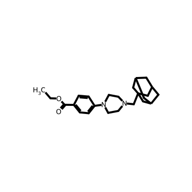 CCOC(=O)c1ccc(N2CCN(CC34CC5CC(CC(C5)C3)C4)CC2)cc1